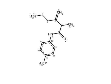 C=C(CCN)C(C)C(=O)Nc1ccc(C)cc1